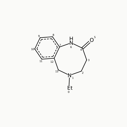 CCN1CCC(=O)Nc2ccccc2C1